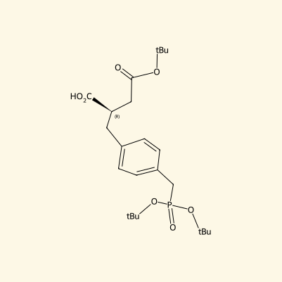 CC(C)(C)OC(=O)C[C@@H](Cc1ccc(CP(=O)(OC(C)(C)C)OC(C)(C)C)cc1)C(=O)O